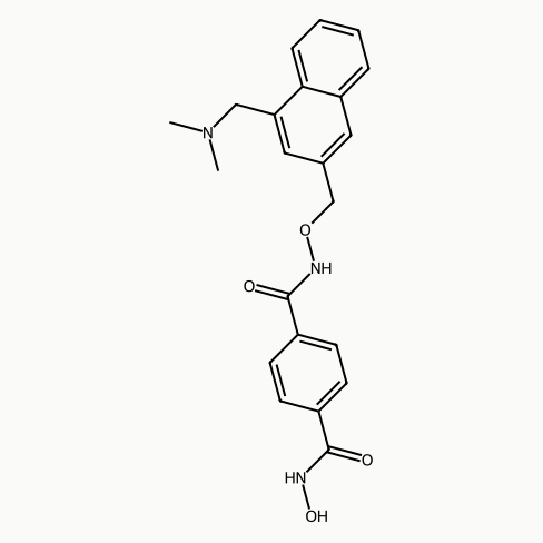 CN(C)Cc1cc(CONC(=O)c2ccc(C(=O)NO)cc2)cc2ccccc12